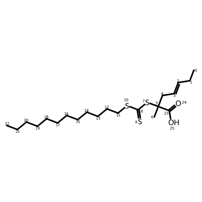 CCC=CCC(C)(SC(=S)SCCCCCCCCCCCC)C(=O)O